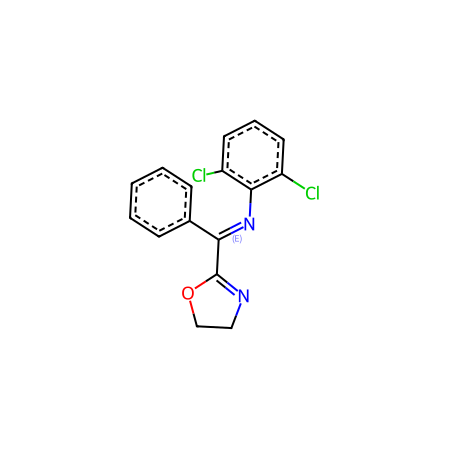 Clc1cccc(Cl)c1/N=C(/C1=NCCO1)c1ccccc1